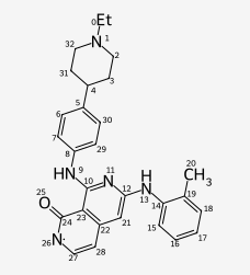 CCN1CCC(c2ccc(Nc3nc(Nc4ccccc4C)cc4c3C(=O)[N]C=C4)cc2)CC1